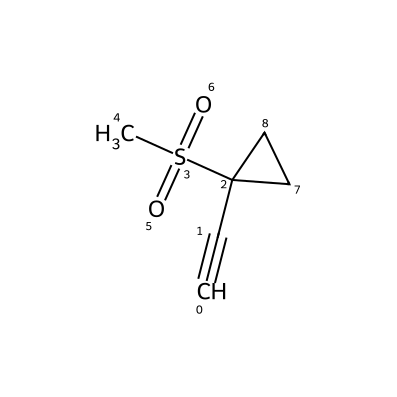 C#CC1(S(C)(=O)=O)CC1